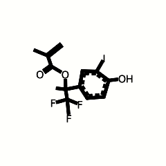 C=C(C)C(=O)OC(C)(c1ccc(O)c(I)c1)C(F)(F)F